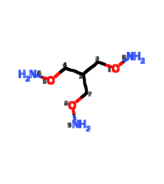 NOCC(CON)CON